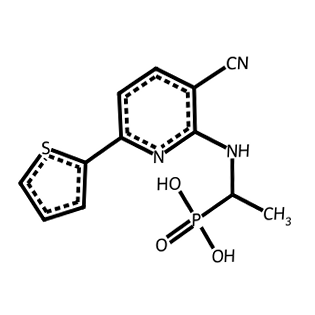 CC(Nc1nc(-c2cccs2)ccc1C#N)P(=O)(O)O